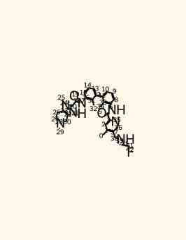 Cc1cc(C(=O)Nc2cccc(-c3cccc(NC(=O)c4nc5c(n4C)CCN(C)C5)c3C)c2C)ncc1CNCCF